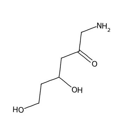 NCC(=O)CC(O)CCO